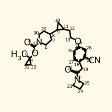 CC1(OC(=O)N2CCC(C3CC3CCOc3ccc(CC(=O)N4CCC4)c(C#N)c3)CC2)CC1